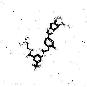 COc1cc2ncc(-c3ccc(CC(=O)Nc4cc(C(=O)NCCN(C)C)cc(C(F)(F)F)c4)c(F)c3)nc2cc1OC